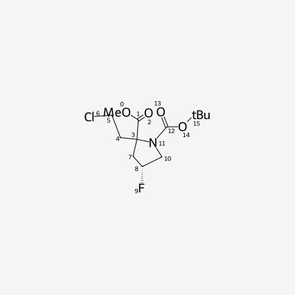 COC(=O)C1(CCCl)C[C@@H](F)CN1C(=O)OC(C)(C)C